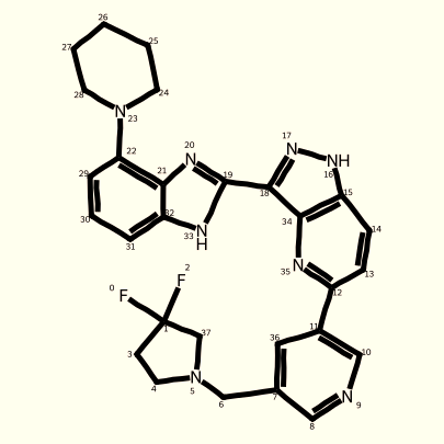 FC1(F)CCN(Cc2cncc(-c3ccc4[nH]nc(-c5nc6c(N7CCCCC7)cccc6[nH]5)c4n3)c2)C1